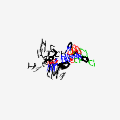 CCC(Oc1ccc(C(C)(C)CC)cc1C(C)(C)CC)C(=O)Nc1cccc(NC(=O)NC2=NN(c3c(Cl)cc(Cl)cc3Cl)C(=O)C2S(=O)(=O)c2ccccn2)c1